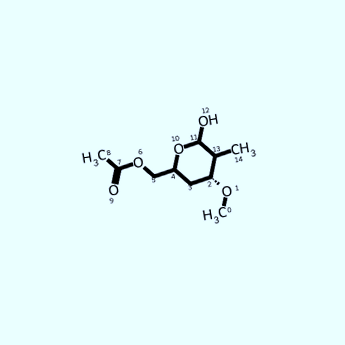 CO[C@@H]1CC(COC(C)=O)OC(O)C1C